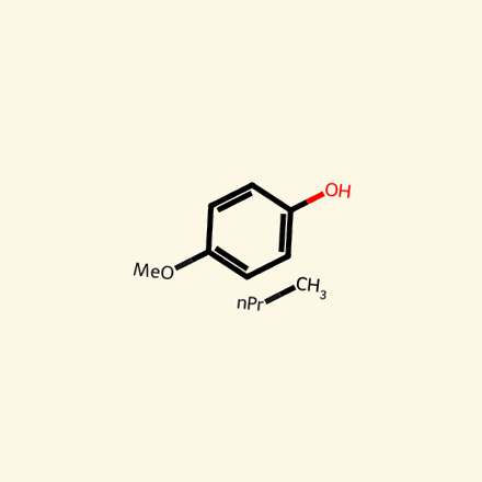 CCCC.COc1ccc(O)cc1